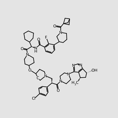 C[C@@H]1C[C@@H](O)c2ncnc(N3CCN(C(=O)[C@H](CN4CCC(OC5CCN(C(=O)[C@H](NC(=O)c6cccc(C7CCCN(C(=O)C89CC(C8)C9)C7)c6F)C6CCCCC6)CC5)CC4)c4ccc(Cl)cc4)CC3)c21